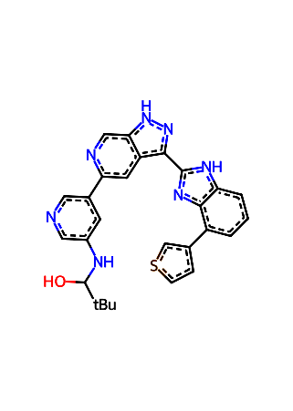 CC(C)(C)C(O)Nc1cncc(-c2cc3c(-c4nc5c(-c6ccsc6)cccc5[nH]4)n[nH]c3cn2)c1